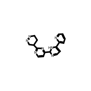 [C]1N=NCCC1c1nccc(C2N=CC=C(c3ccccn3)N2)n1